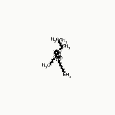 CCC=CCCOc1c(OCCCCCCCCCC)c(=O)oc2c(OCC=C(C)CCC=C(C)C)cccc12